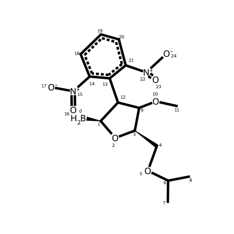 B[C@@H]1O[C@H](COC(C)C)C(OC)C1c1c([N+](=O)[O-])cccc1[N+](=O)[O-]